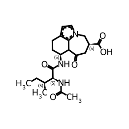 CC[C@H](C)[C@H](NC(C)=O)C(=O)N[C@H]1CCc2ccn3c2C1C(=O)C[C@H](C(=O)O)C3